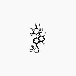 CN1C(=N)N[C@](C)(c2ccc(F)cc2F)[C@H](c2ccc(N3CCCS3(=O)=O)cc2)C1=O